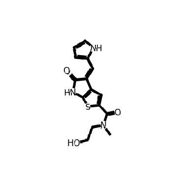 CN(CCO)C(=O)c1cc2c(s1)NC(=O)/C2=C\c1ccc[nH]1